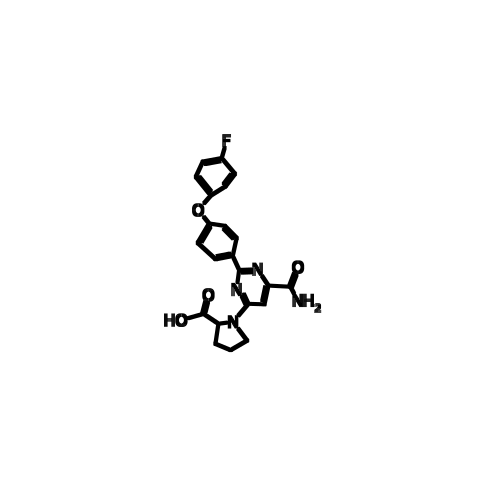 NC(=O)c1cc(N2CCCC2C(=O)O)nc(-c2ccc(Oc3ccc(F)cc3)cc2)n1